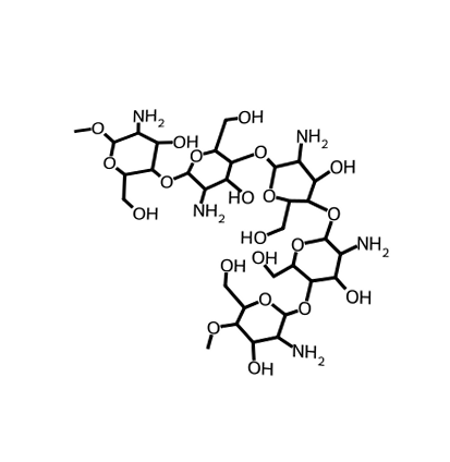 COC1OC(CO)C(OC2OC(CO)C(OC3OC(CO)C(OC4OC(CO)C(OC5OC(CO)C(OC)C(O)C5N)C(O)C4N)C(O)C3N)C(O)C2N)C(O)C1N